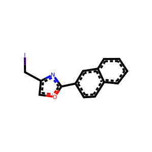 ICc1coc(-c2ccc3ccccc3c2)n1